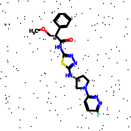 COC[C@@H](C(=O)Nc1nnc(N[C@@H]2CCN(c3ccc(F)nn3)C2)s1)c1ccccc1